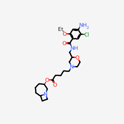 CCOc1cc(N)c(Cl)cc1C(=O)NCC1CN(CCCCC(=O)O[C@@H]2CCCC3CCN3C2)CCO1